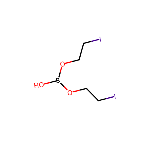 OB(OCCI)OCCI